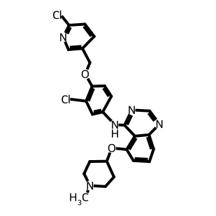 CN1CCC(Oc2cccc3ncnc(Nc4ccc(OCc5ccc(Cl)nc5)c(Cl)c4)c23)CC1